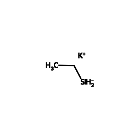 CC[SiH2-].[K+]